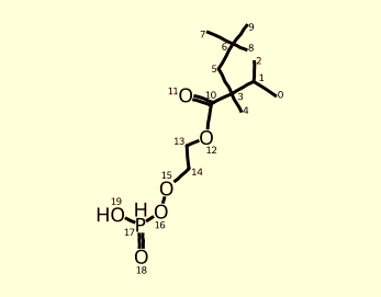 CC(C)C(C)(CC(C)(C)C)C(=O)OCCOO[PH](=O)O